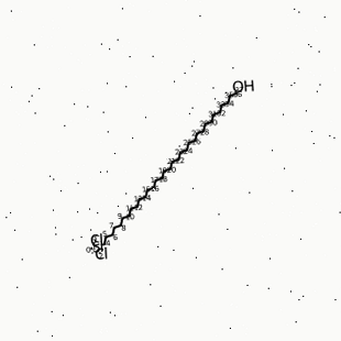 C[Si](Cl)(Cl)CCCCCCCCCCCCCCCCCCCCCCCCCCCCCCCCCO